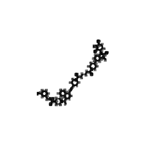 CC(c1ccc(C#CC2CCN(C(=O)CCCCC(=O)N3CCC(c4ccc5c(c4)n(C)c(=O)n5C4CCC(=O)NC4=O)CC3)CC2)c2ccccc12)N1CCC(C(=O)NCc2cccc(F)c2)CC1